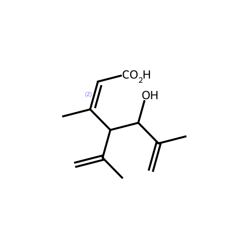 C=C(C)C(O)C(C(=C)C)/C(C)=C\C(=O)O